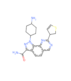 NC(=O)c1nn(C2CCC(N)CC2)c2c1ccc1cnc(C3C=CSC3)nc12